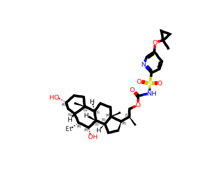 CC[C@H]1[C@@H](O)[C@@H]2[C@H](CC[C@]3(C)[C@@H]([C@H](C)COC(=O)NS(=O)(=O)c4ccc(OC5(C)CC5)cn4)CC[C@@H]23)[C@@]2(C)CC[C@@H](O)C[C@@H]12